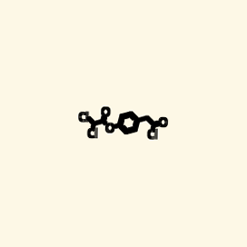 O=C(Cl)Cc1ccc(OC(=O)C(Cl)Cl)cc1